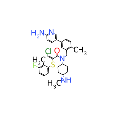 CN[C@H]1CC[C@H](N(Cc2cc(-c3ccc(N)nc3)ccc2C)C(=O)/C(=C\Cl)Sc2cccc(F)c2C)CC1